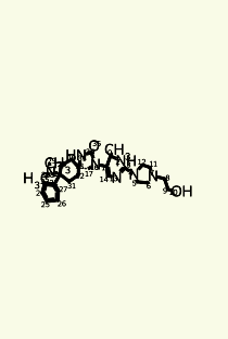 CC1NC(N2CCN(CCO)CC2)=NC=C1N1C[C@]2(CC[C@](c3ccccc3)(N(C)C)CC2)NC1=O